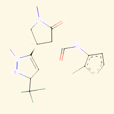 CN1C[C@H](C2=CC(C(F)(F)F)NN2C)[C@@H](C(=O)Nc2ccsc2F)C1=O